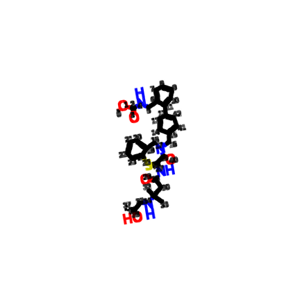 COC(=O)NCc1ccccc1-c1ccc(CN2Cc3ccccc3S[C@@H](NC(=O)CC(C)(C)NC[C@@H](C)O)C2=O)cc1